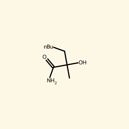 C[CH]CCCC(C)(O)C(N)=O